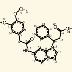 COc1ccc(CC(=O)Nc2ccc3ncn(C(CC(=O)O)c4ccccc4)c3c2)cc1O